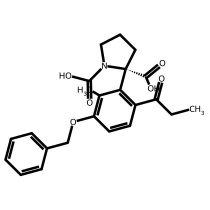 CCC(=O)c1ccc(OCc2ccccc2)c(C)c1[C@]1(C(=O)O)CCCN1C(=O)O